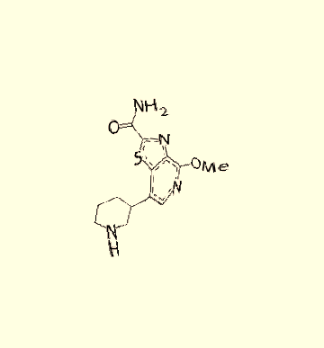 COc1ncc(C2CCCNC2)c2sc(C(N)=O)nc12